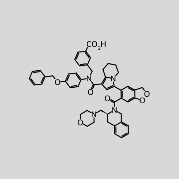 O=C(O)c1cccc(CN(C(=O)c2cc(-c3cc4c(cc3C(=O)N3Cc5ccccc5C[C@H]3CN3CCOCC3)OOC4)n3c2CCCC3)c2ccc(OCc3ccccc3)cc2)c1